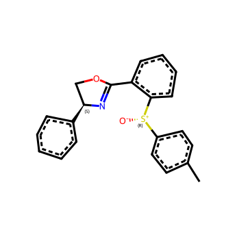 Cc1ccc([S@+]([O-])c2ccccc2C2=N[C@@H](c3ccccc3)CO2)cc1